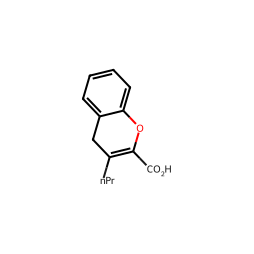 CCCC1=C(C(=O)O)Oc2ccccc2C1